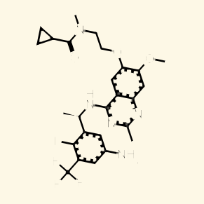 COc1cc2nc(C)nc(N[C@H](C)c3cc(N)cc(C(F)(F)F)c3F)c2cc1OCCN(C)C(=O)C1CC1